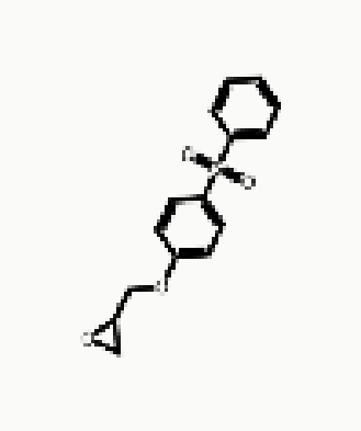 O=S(=O)(c1ccccc1)c1ccc(OCC2CO2)cc1